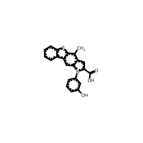 Cc1c2cc(C(=O)O)n(-c3cccc(O)c3)c2cc2c1sc1ccccc12